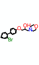 OC(COc1ccc(-c2ccccc2Br)cc1)CN1CCOCC1